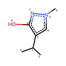 CC(C)c1cn(C)nc1O